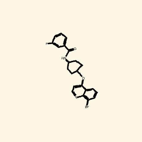 O=C(NC1CCC(Oc2ccnc3c(Br)cccc23)CC1)c1cccc(F)c1